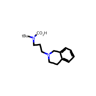 CC(C)(C)N(CCCN1CCc2ccccc2C1)C(=O)O